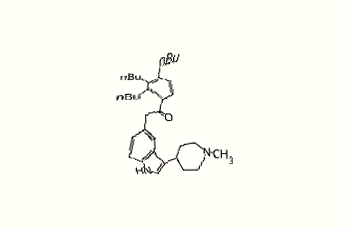 CCCCc1ccc(C(=O)Cc2ccc3[nH]cc(C4CCN(C)CC4)c3c2)c(CCCC)c1CCCC